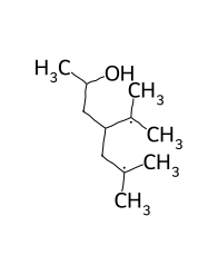 C[C](C)CC(CC(C)O)[C](C)C